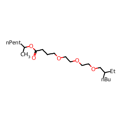 CCCCCC(C)OC(=O)CCCOCCOCCOCC(CC)CCCC